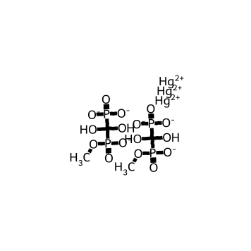 COP(=O)([O-])C(O)(O)P(=O)([O-])[O-].COP(=O)([O-])C(O)(O)P(=O)([O-])[O-].[Hg+2].[Hg+2].[Hg+2]